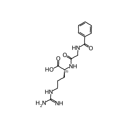 N=C(N)NCCC[C@H](NC(=O)CNC(=O)c1ccccc1)C(=O)O